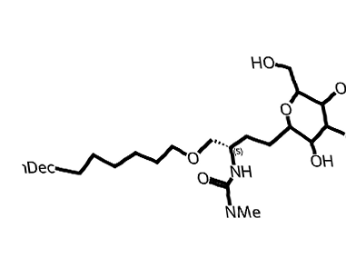 CCCCCCCCCCCCCCCCOC[C@H](CCC1OC(CO)C(O)C(O)C1O)NC(=O)NC